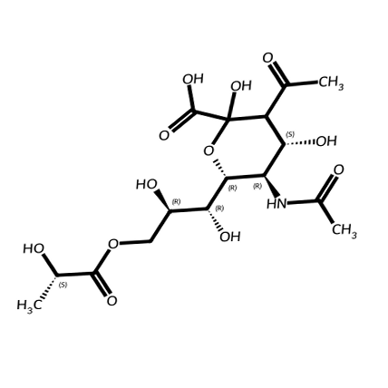 CC(=O)N[C@H]1[C@H]([C@H](O)[C@H](O)COC(=O)[C@H](C)O)OC(O)(C(=O)O)C(C(C)=O)[C@@H]1O